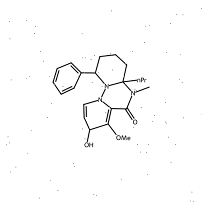 CCCC12CCCC(c3ccccc3)N1N1C=CC(O)C(OC)=C1C(=O)N2C